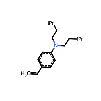 C=Cc1ccc(N(CCC(C)C)CCC(C)C)cc1